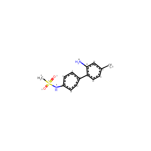 CS(=O)(=O)Nc1ccc(-c2ccc(C(F)(F)F)cc2N)cc1